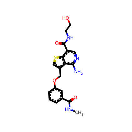 CNC(=O)c1cccc(OCc2csc3c(C(=O)NCCO)cnc(N)c23)c1